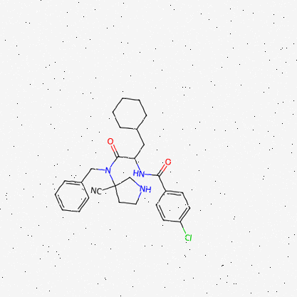 N#CC1(N(Cc2ccccc2)C(=O)C(CC2CCCCC2)NC(=O)c2ccc(Cl)cc2)CCNC1